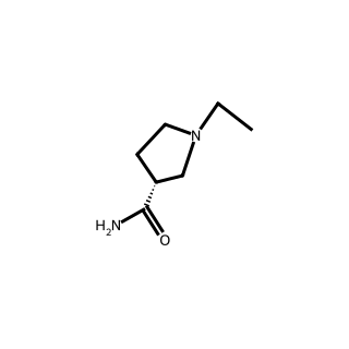 CCN1CC[C@@H](C(N)=O)C1